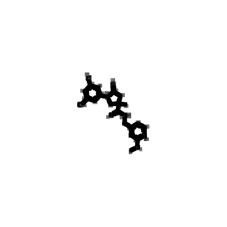 COc1cc(CNC(=O)C2(C)CC(=O)N(c3cc(Cl)cc(Cl)c3)C2)ccn1